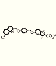 Cc1c(C(=O)O)sc2ccc(OCc3ccc(OCc4ccc5ccc(Cl)cc5n4)cc3)cc12